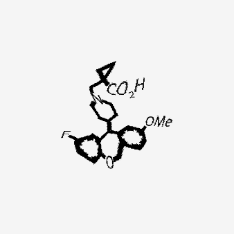 COc1ccc2c(c1)C(=C1CCN(CC3(C(=O)O)CC3)CC1)c1cc(F)ccc1OC2